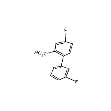 O=C(O)c1cc(F)ccc1-c1cccc(F)c1